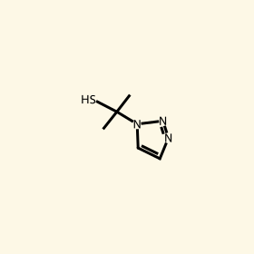 CC(C)(S)n1ccnn1